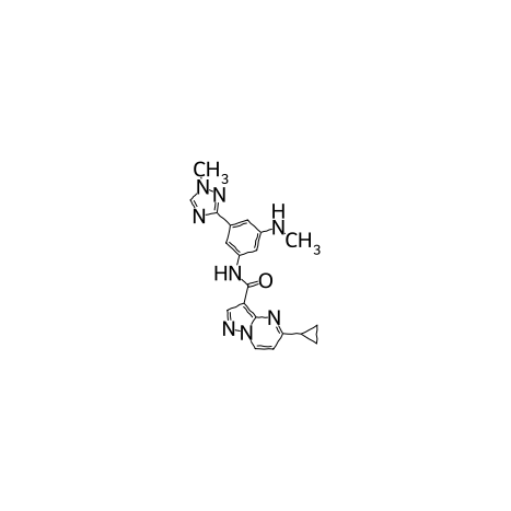 CNc1cc(NC(=O)c2cnn3ccc(C4CC4)nc23)cc(-c2ncn(C)n2)c1